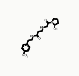 N#C[C@@H]1CCCN1C(=O)CNCCC(=O)NCCc1ccc([N+](=O)[O-])cc1